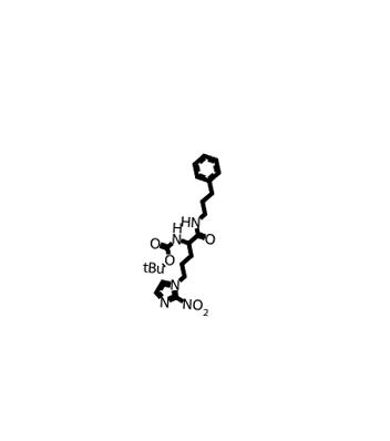 CC(C)(C)OC(=O)NC(CCCn1ccnc1[N+](=O)[O-])C(=O)NCCCc1ccccc1